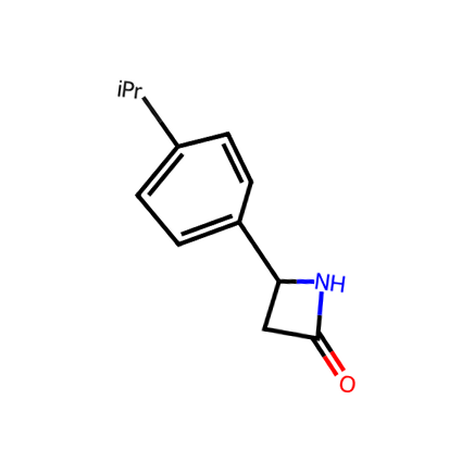 CC(C)c1ccc(C2CC(=O)N2)cc1